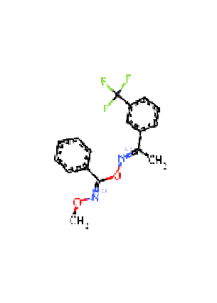 CO/N=C(/O/N=C(\C)c1cccc(C(F)(F)F)c1)c1[c]cccc1